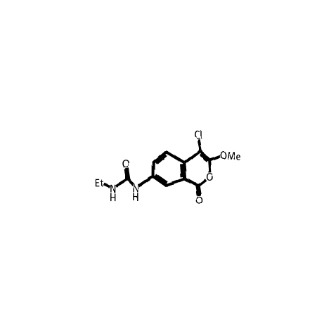 CCNC(=O)Nc1ccc2c(Cl)c(OC)oc(=O)c2c1